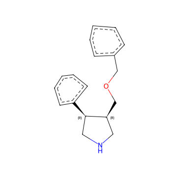 c1ccc(COC[C@H]2CNC[C@H]2c2ccccc2)cc1